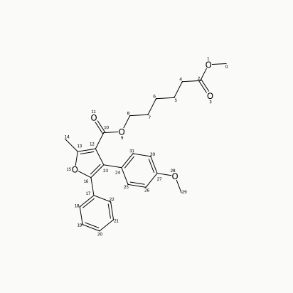 COC(=O)CCCCCOC(=O)c1c(C)oc(-c2ccccc2)c1-c1ccc(OC)cc1